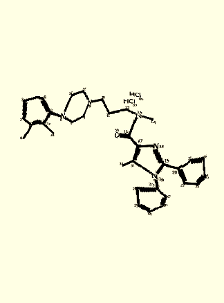 Cc1cccc(N2CCN(CCCN(C)C(=O)c3nc(-c4ccccc4)n(-c4ccccc4)c3C)CC2)c1C.Cl.Cl